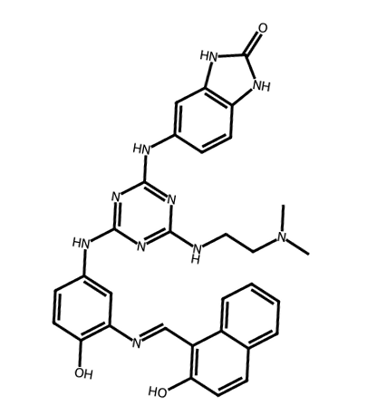 CN(C)CCNc1nc(Nc2ccc(O)c(N=Cc3c(O)ccc4ccccc34)c2)nc(Nc2ccc3[nH]c(=O)[nH]c3c2)n1